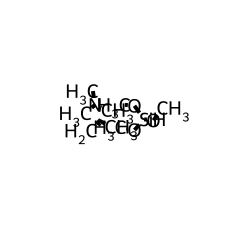 C=CC.CN(C)C.CO[SiH](OC)OC